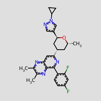 Cc1nc2cc([C@H]3C[C@@H](C)O[C@H](c4cnn(C5CC5)c4)C3)nc(-c3ccc(F)cc3F)c2nc1C